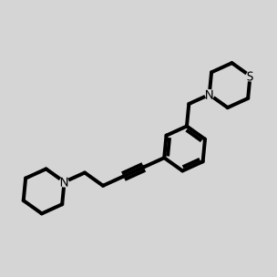 C(#Cc1cccc(CN2CCSCC2)c1)CCN1CCCCC1